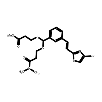 COC(=O)CCSC(SCCC(=O)N(C)C)c1cccc(C=Cc2nc(C(C)C)cs2)c1